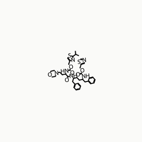 CC(C)c1nc(COC(=O)NC(CCN2CCOCC2)C(=O)NC(CCC(Cc2ccccc2)NC(=O)OCc2cncs2)Cc2ccccc2)cs1